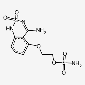 NC1=NS(=O)(=O)Nc2cccc(OCCOS(N)(=O)=O)c21